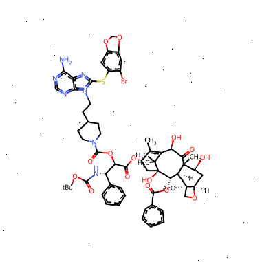 CC(=O)O[C@@]12CO[C@@H]1C[C@H](O)[C@@]1(C)C(=O)[C@H](O)C3=C(C)[C@@H](OC(=O)[C@H](OC(=O)N4CCC(CCn5c(Sc6cc7c(cc6Br)OCO7)nc6c(N)ncnc65)CC4)[C@@H](NC(=O)OC(C)(C)C)c4ccccc4)C[C@@](O)([C@@H](OC(=O)c4ccccc4)[C@H]21)C3(C)C